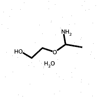 CC(N)OCCO.O